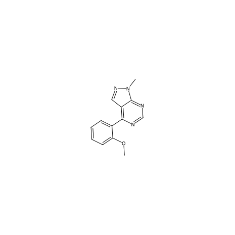 COc1ccccc1-c1ncnc2c1cnn2C